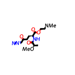 CNCCOC(=O)[C@H](CCC(=O)C=[N+]=[N-])NC(=O)[C@@H](C)OC